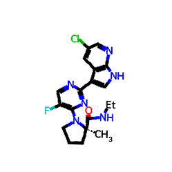 CCNC(=O)[C@@]1(C)CCCN1c1nc(-c2c[nH]c3ncc(Cl)cc23)ncc1F